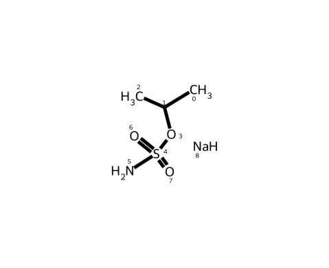 CC(C)OS(N)(=O)=O.[NaH]